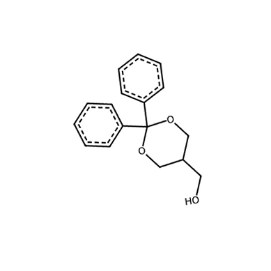 OCC1COC(c2ccccc2)(c2ccccc2)OC1